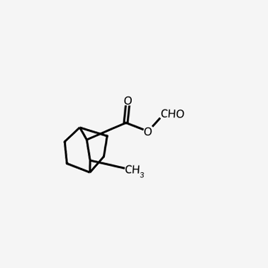 CC1C2CCC(CC2)C1C(=O)OC=O